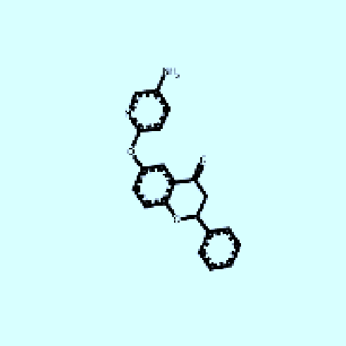 Nc1ccc(Oc2ccc3c(c2)C(=O)CC(c2ccccc2)O3)nc1